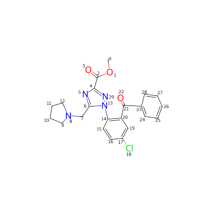 COC(=O)c1nc(CN2CCCC2)n(-c2ccc(Cl)cc2C(=O)c2ccccc2)n1